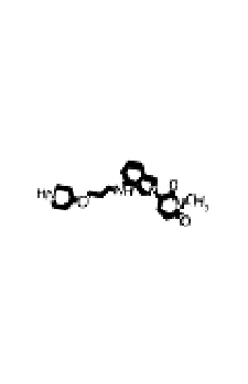 CN1C(=O)CCC(n2cc3cccc(NCCCOC4CCNCC4)c3c2)C1=O